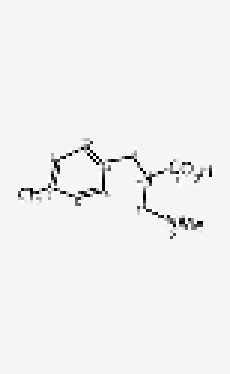 CNCN(Cc1ccc(Cl)cc1)C(=O)O